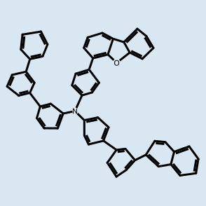 c1ccc(-c2cccc(-c3cccc(N(c4ccc(-c5cccc(-c6ccc7ccccc7c6)c5)cc4)c4ccc(-c5cccc6c5oc5ccccc56)cc4)c3)c2)cc1